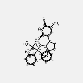 Cc1cn(C2COC(C=O)C2O[Si](c2ccccc2)(c2ccccc2)C(C)(C)C)c(=O)[nH]c1=O